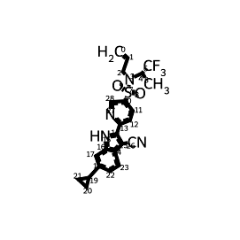 C=CCN(C(C)C(F)(F)F)S(=O)(=O)c1ccc(-c2[nH]c3cc(C4CC4)ccc3c2C#N)nc1